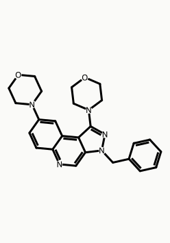 c1ccc(Cn2nc(N3CCOCC3)c3c4cc(N5CCOCC5)ccc4ncc32)cc1